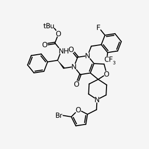 CC(C)(C)OC(=O)N[C@@H](Cn1c(=O)c2c(n(Cc3c(F)cccc3C(F)(F)F)c1=O)COC21CCN(Cc2ccc(Br)o2)CC1)c1ccccc1